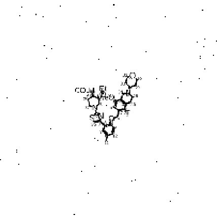 CCO[C@@H]1CN(c2nc(-c3cc(C)ccc3OCc3cc(OC)c4c(c3F)CCN(C3CCOCC3)C4)cs2)CC[C@@H]1C(=O)O